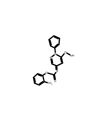 CCCOc1cc(=NC(=O)Oc2ccccc2C)cnn1-c1ccccc1